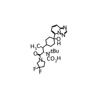 C[C@@H](C1CCC(O)(c2cccc3ncnn23)CC1)[C@@H](C(=O)N1CCC(F)(F)C1)N(C(=O)O)C(C)(C)C